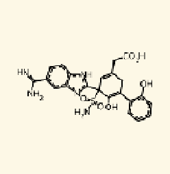 N=C(N)c1ccc2[nH]c(C3(S(N)(=O)=O)C=C(CC(=O)O)CC(c4ccccc4O)=C3O)nc2c1